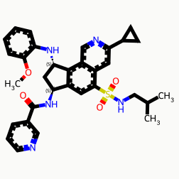 COc1ccccc1N[C@H]1C[C@H](NC(=O)c2cccnc2)c2cc(S(=O)(=O)NCC(C)C)c3cc(C4CC4)ncc3c21